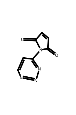 O=C1C=CC(=O)N1c1ccnnn1